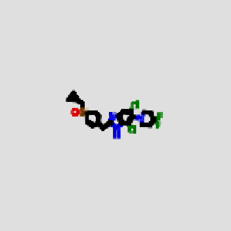 [O-][S+](CC1CC1)C1C=CC(Cc2nc3cc(Cl)c(N4CCC(F)(F)CC4)c(Cl)c3[nH]2)=CC1